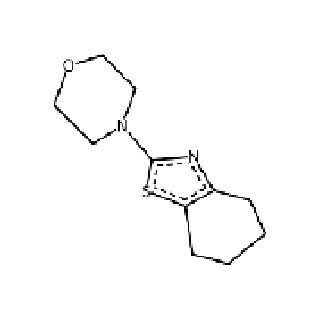 C1CCc2sc(N3CCOCC3)nc2C1